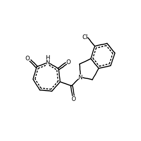 O=C(c1cccc(=O)[nH]c1=O)N1Cc2cccc(Cl)c2C1